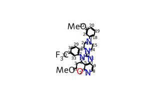 COC(=O)CC1c2cnccc2N=C(N2CCN(c3cccc(OC)c3)CC2)N1c1cccc(C(F)(F)F)c1